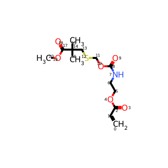 C=CC(=O)OCCNC(=O)OCSCC(C)(C)C(=O)OC